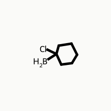 BC1(Cl)CCCCC1